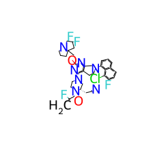 C=C(F)C(=O)N1CCN(c2nc(OCC34CCCN3CC(F)(F)C4)nc3c2CCN(c2cccc4ccc(F)c(Cl)c24)C3)C[C@@H]1CC#N